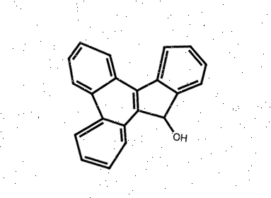 OC1c2ccccc2-c2c1c1ccccc1c1ccccc21